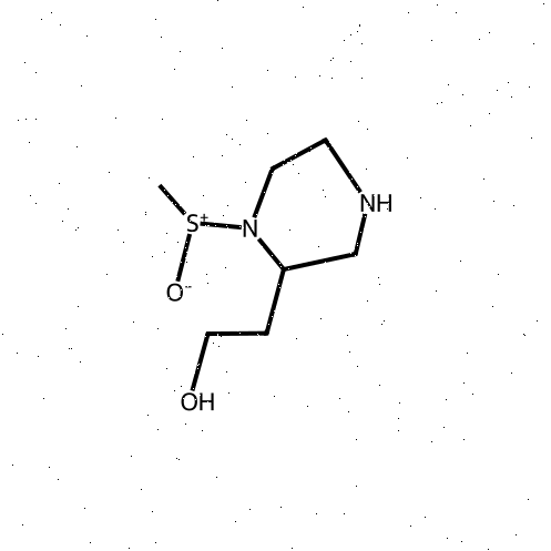 C[S+]([O-])N1CCNCC1CCO